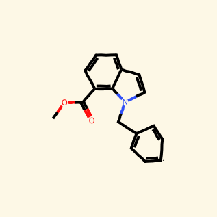 COC(=O)c1cccc2ccn(Cc3cc[c]cc3)c12